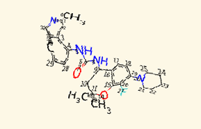 Cc1cc2c(NC(=O)NC3CC(C)(C)Oc4c3ccc(N3CCCCC3)c4F)cccc2cn1